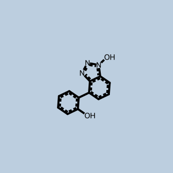 Oc1ccccc1-c1cccc2c1nnn2O